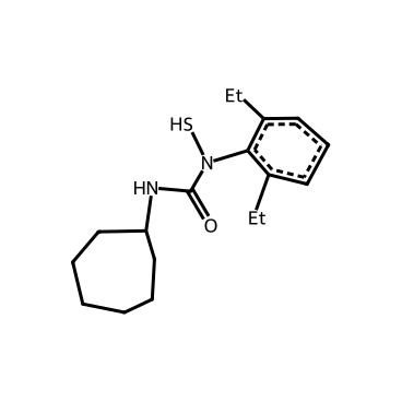 CCc1cccc(CC)c1N(S)C(=O)NC1CCCCCC1